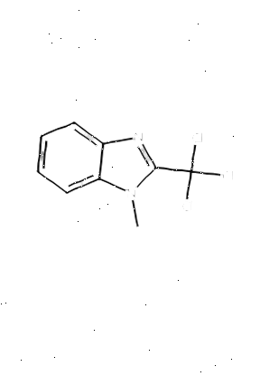 Cn1c(C(Cl)(Cl)Cl)nc2ccccc21